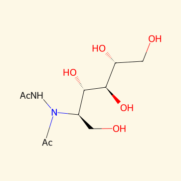 CC(=O)NN(C(C)=O)[C@H](CO)[C@H](O)[C@H](O)[C@H](O)CO